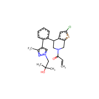 C=CC(=O)N1Cc2sc(Cl)cc2C(c2ccccc2-c2cn(CC(C)(C)O)nc2C(F)(F)F)C1